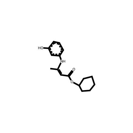 CC(=CC(=O)OC1CCCCC1)Nc1cccc(O)c1